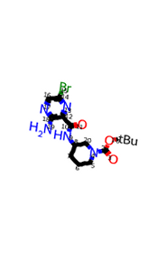 CC(C)(C)OC(=O)N1CCCC(NC(=O)c2nc(Br)cnc2N)C1